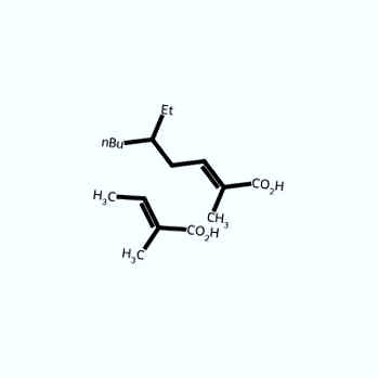 C/C=C(\C)C(=O)O.CCCCC(CC)C/C=C(\C)C(=O)O